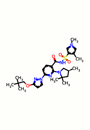 Cc1cn(C)cc1S(=O)(=O)NC(=O)c1ccc(-n2ccc(OCC(C)(C)C)n2)nc1N1C[C@@H](C)CC1(C)C